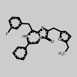 CCc1ccc(Cc2nc3c(Cc4cccc(F)c4)[nH]c(-c4ccccc4)cn-3c2=O)o1